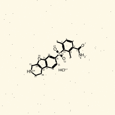 Cc1ccc(C(N)=O)c(C)c1S(=O)(=O)c1ccc2c3c(oc2c1)CNCC3.Cl